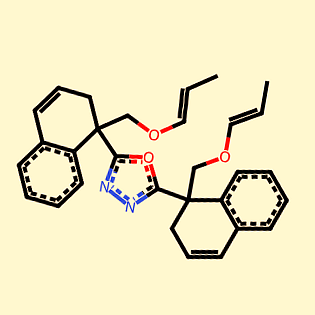 C/C=C/OCC1(c2nnc(C3(CO/C=C/C)CC=Cc4ccccc43)o2)CC=Cc2ccccc21